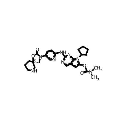 CN(C)C(=O)Oc1cc2cnc(Nc3ccc(N4C[C@]5(CCCNC5)OC4=O)cn3)nc2n1C1CCCC1